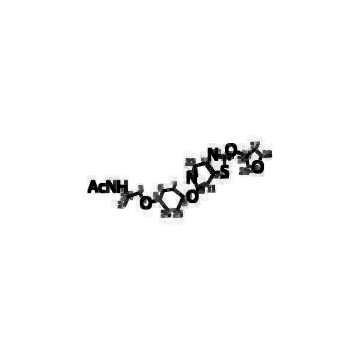 CC(=O)N[C@@H](C)CO[C@H]1CC[C@H](Oc2cc3sc(O[C@H]4CCOC4)nc3cn2)CC1